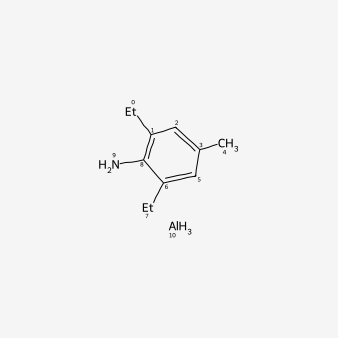 CCc1cc(C)cc(CC)c1N.[AlH3]